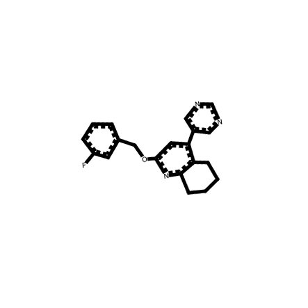 Fc1cccc(COc2cc(-c3cncnc3)c3c(n2)CCCC3)c1